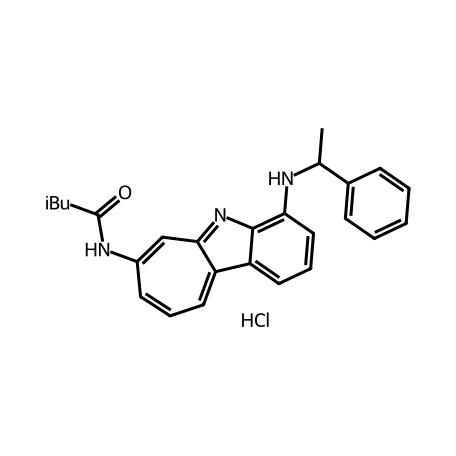 CCC(C)C(=O)Nc1cccc2c3cccc(NC(C)c4ccccc4)c3nc-2c1.Cl